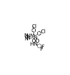 O=C(NC1CCC(F)(F)CC1)Oc1nc(-c2ccc(Cl)cc2)c(-c2ccc(Cl)cc2)nc1Cn1ncnn1